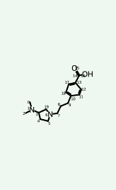 CN(C)C1CCN(CCCc2ccc(C(=O)O)cc2)C1